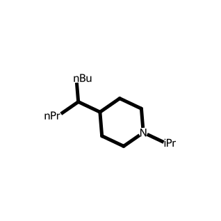 CCCCC(CCC)C1CCN(C(C)C)CC1